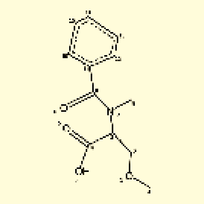 COCC(C(=O)O)N(C)C(=O)c1ccccc1